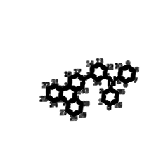 c1ccc(N(c2ccccc2)c2cccc(-c3ccc4c5ccccc5c5ccccc5c4c3)c2)cc1